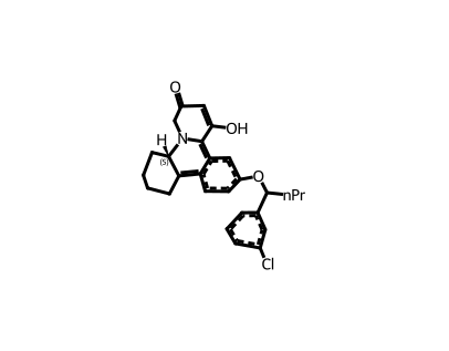 CCCC(Oc1ccc2c(c1)=C1C(O)=CC(=O)CN1[C@H]1CCCCC=21)c1cccc(Cl)c1